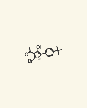 CC(=O)c1c(Br)sc(-c2ccc(C(C)(C)C)cc2)c1O